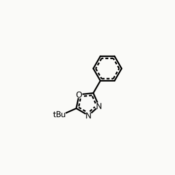 CC(C)(C)c1nnc(-c2ccccc2)o1